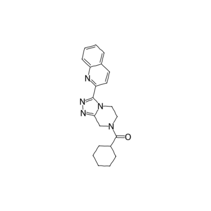 O=C(C1CCCCC1)N1CCn2c(nnc2-c2ccc3ccccc3n2)C1